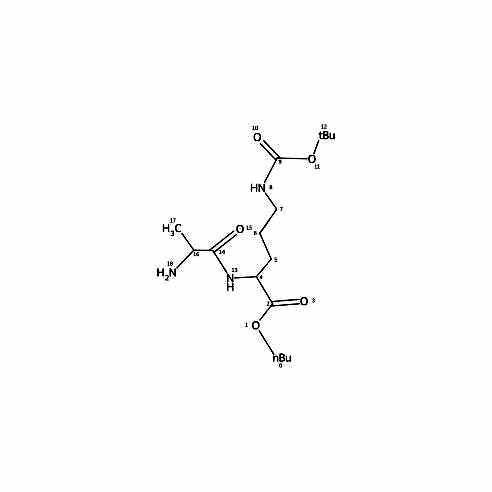 CCCCOC(=O)C(CCCNC(=O)OC(C)(C)C)NC(=O)C(C)N